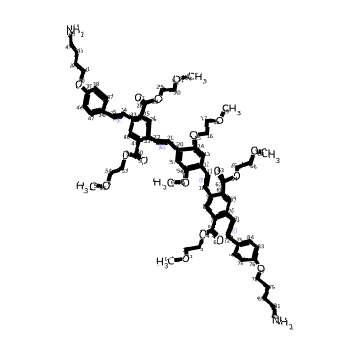 COCCOC(=O)c1cc(/C=C/c2cc(OCCOC)c(/C=C/c3cc(C(=O)OCCOC)c(/C=C/c4ccc(OCCCCN)cc4)cc3C(=O)OCCOC)cc2OC)c(C(=O)OCCOC)cc1/C=C/c1ccc(OCCCCN)cc1